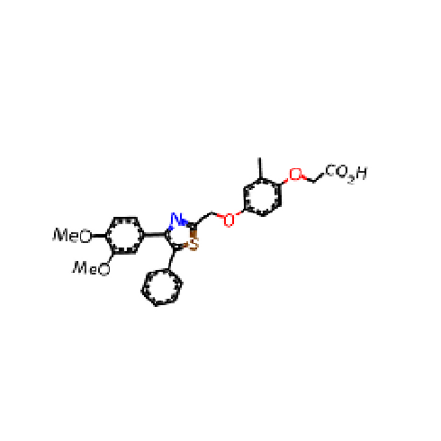 COc1ccc(-c2nc(COc3ccc(OCC(=O)O)c(C)c3)sc2-c2ccccc2)cc1OC